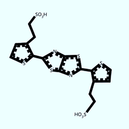 O=S(=O)(O)CCc1ccsc1-c1nc2sc(-c3sccc3CCS(=O)(=O)O)nc2s1